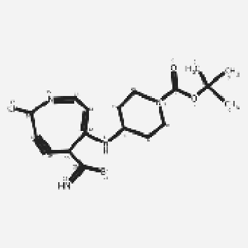 CC(C)(C)OC(=O)N1CCC(N/C2=C/C=N\C(Cl)C#CC2C(=N)Br)CC1